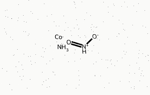 N.O=[NH+][O-].[Co]